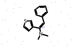 CN(C)/C(=C/c1ccccc1)c1ccsc1